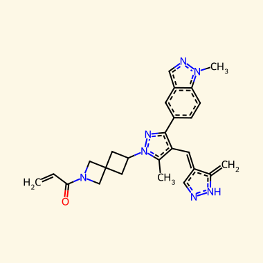 C=CC(=O)N1CC2(CC(n3nc(-c4ccc5c(cnn5C)c4)c(/C=c4\cn[nH]c4=C)c3C)C2)C1